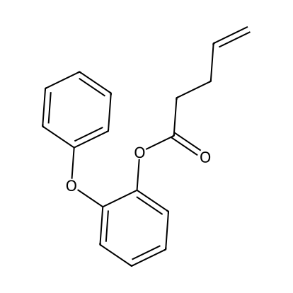 C=CCCC(=O)Oc1ccccc1Oc1ccccc1